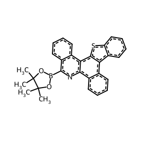 CC1(C)OB(c2nc3c4ccccc4c4c5ccccc5sc4c3c3ccccc23)OC1(C)C